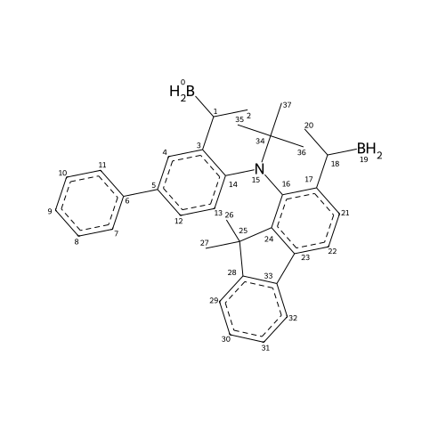 BC(C)c1cc(-c2ccccc2)ccc1N(c1c(C(B)C)ccc2c1C(C)(C)c1ccccc1-2)C(C)(C)C